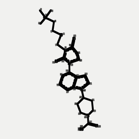 C[Si](C)(C)CCOCn1c(=O)ccn(-c2cccc3c2ccn3C2CCN(C(=O)O)CC2)c1=O